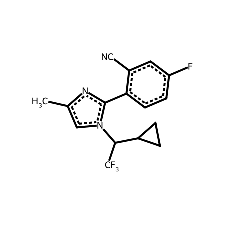 Cc1cn(C(C2CC2)C(F)(F)F)c(-c2ccc(F)cc2C#N)n1